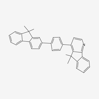 CC1(C)c2ccccc2-c2ccc(-c3ccc(-c4ccnc5c4C(C)(C)c4ccccc4-5)cc3)cc21